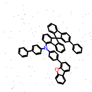 c1ccc(-c2ccc(N(c3ccc(-c4cccc5c4oc4ccccc45)cc3)c3cccc4c3-c3ccccc3C43c4ccccc4-c4ccc(-c5ccccc5)cc43)cc2)cc1